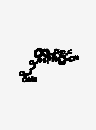 COC(=O)CCCC(=O)Nc1cccc2cc(C(=O)Nc3ccc(C#N)cc3C(=O)O)[nH]c12